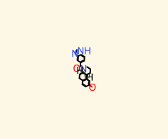 COc1ccc2c(c1)[C@H]1CCCN(C(=O)c3ccc4[nH]cnc4c3)[C@@H]1CC2